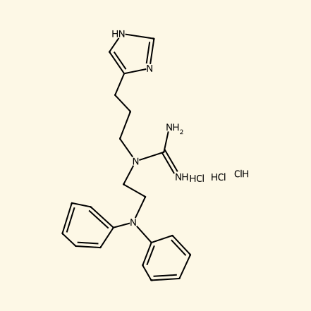 Cl.Cl.Cl.N=C(N)N(CCCc1c[nH]cn1)CCN(c1ccccc1)c1ccccc1